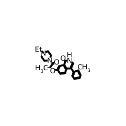 CCN1CCN(C(=O)[C@@H](C)Oc2ccc3c(-c4ccccc4C)c[nH]c(=O)c3c2)CC1